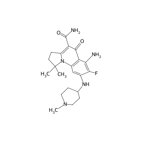 CN1CCC(Nc2cc3c(c(N)c2F)c(=O)c(C(N)=O)c2n3C(C)(C)CC2)CC1